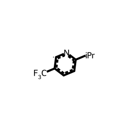 CC(C)c1ccc(C(F)(F)F)[c]n1